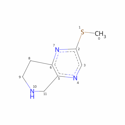 CSc1cnc2c(n1)CCNC2